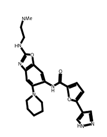 CNCCNc1nc2cc(N3CCCCC3)c(NC(=O)c3ccc(-c4cn[nH]c4)o3)cc2o1